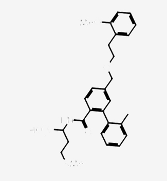 COc1ccccc1CCOCc1ccc(C(=O)NC(CCSC)C(=O)O)c(-c2ccccc2C)c1